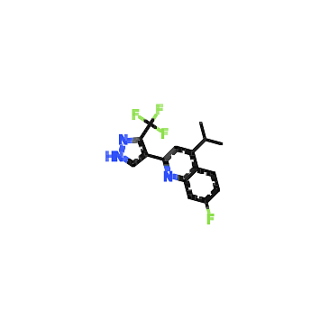 CC(C)c1cc(-c2c[nH]nc2C(F)(F)F)nc2cc(F)ccc12